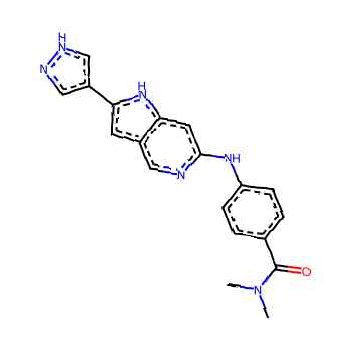 CN(C)C(=O)c1ccc(Nc2cc3[nH]c(-c4cn[nH]c4)cc3cn2)cc1